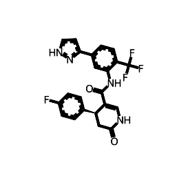 O=C1C[C@@H](c2ccc(F)cc2)C(C(=O)Nc2cc(-c3cc[nH]n3)ccc2C(F)(F)F)=CN1